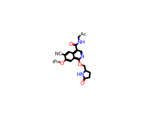 CC(=O)CNC(=O)c1cnc(OCC2CCC(=O)N2)c2cc(OC(C)C)c(C#N)cc12